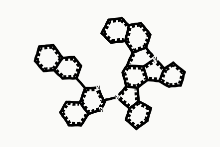 c1ccc2cc(-c3nc(-n4c5ccccc5c5c6c7ccccc7n7c8ccc9ccccc9c8c(cc54)c67)nc4ccccc34)ccc2c1